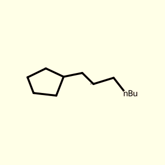 CCCCC[CH]CC1CCCC1